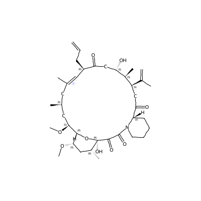 C=CC[C@@H]1/C=C(\C)C[C@H](C)C[C@H](OC)[C@H]2O[C@@](O)(C(=O)C(=O)N3CCCC[C@H]3C(=O)C[C@H](C(=C)C)[C@H](C)[C@@H](O)CC1=O)[C@H](C)C[C@@H]2OC